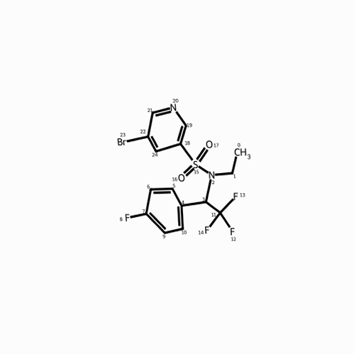 CCN(C(c1ccc(F)cc1)C(F)(F)F)S(=O)(=O)c1cncc(Br)c1